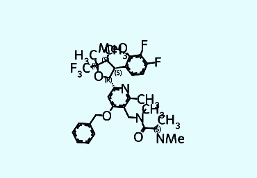 CN[C@@H](C)C(=O)N(C)Cc1c(OCc2ccccc2)cc([C@@H]2O[C@@](C)(C(F)(F)F)[C@@H](C)[C@H]2c2ccc(F)c(F)c2OC)nc1C